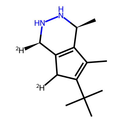 [2H]C1C2=C(C(C)=C1C(C)(C)C)[C@H](C)NN[C@@H]2[2H]